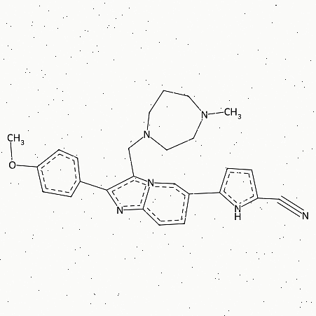 COc1ccc(-c2nc3ccc(-c4ccc(C#N)[nH]4)cn3c2CN2CCCN(C)CC2)cc1